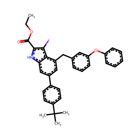 CCOC(=O)c1[nH]c2cc(-c3ccc(C(C)(C)C)cc3)cc(Cc3cccc(Oc4ccccc4)c3)c2c1I